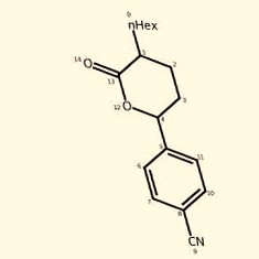 CCCCCCC1CCC(c2ccc(C#N)cc2)OC1=O